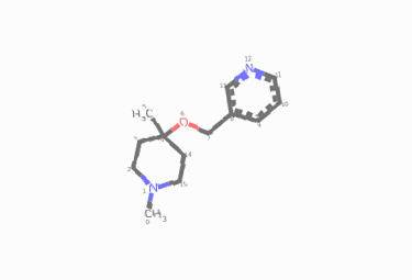 CN1CCC(C)(OCc2cccnc2)CC1